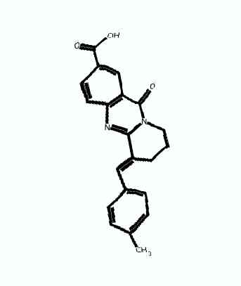 Cc1ccc(C=C2CCCn3c2nc2ccc(C(=O)O)cc2c3=O)cc1